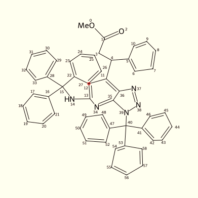 COC(=O)CC(c1ccccc1)c1cc(NC(c2ccccc2)(c2ccccc2)c2ccccc2)nc2c1nnn2C(c1ccccc1)(c1ccccc1)c1ccccc1